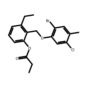 CCC(=O)Oc1cccc(CC)c1COc1cc(Cl)c(C)cc1Br